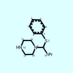 CCCC(Sc1ccccc1)N1CCNCC1